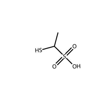 CC(S)S(=O)(=O)O